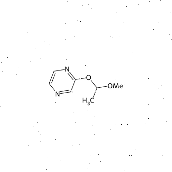 COC(C)Oc1[c]nccn1